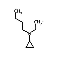 [CH2]CN(CCCC)C1CC1